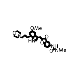 CNC(=O)Nc1ccc2c(c1)C(=O)/C(=C/c1c[nH]c3c(/C=C/CN4CCOCC4)cc(OC)cc13)O2